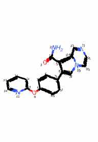 NC(=O)c1c(-c2ccc(Oc3ccccn3)cc2)cn2ccncc12